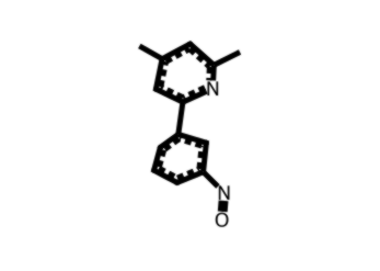 Cc1cc(C)nc(-c2cccc(N=O)c2)c1